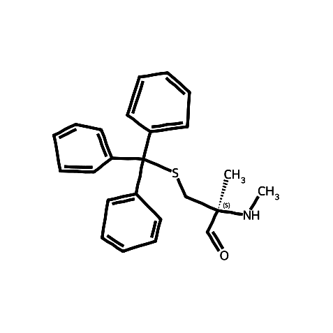 CN[C@@](C)(C=O)CSC(c1ccccc1)(c1ccccc1)c1ccccc1